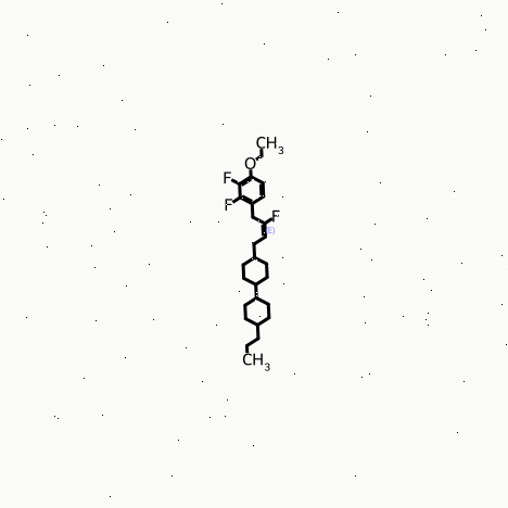 CCCC1CCC(C2CCC(C/C=C(/F)Cc3ccc(OCC)c(F)c3F)CC2)CC1